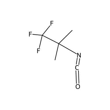 CC(C)(N=C=O)C(F)(F)F